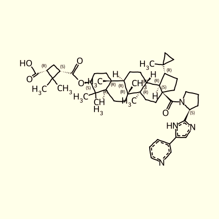 CC1([C@@H]2CC[C@]3(C(=O)N4CCC[C@H]4c4ncc(-c5cccnc5)[nH]4)CC[C@]4(C)[C@H](CC[C@@H]5[C@@]6(C)CC[C@H](OC(=O)[C@H]7C[C@@H](C(=O)O)C7(C)C)C(C)(C)[C@@H]6CC[C@]54C)[C@@H]23)CC1